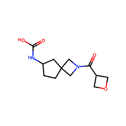 O=C(O)NC1CCC2(C1)CN(C(=O)C1COC1)C2